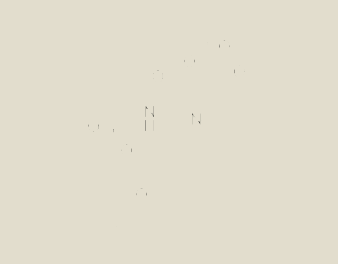 CC[C@H](C)[C@@H](Oc1ccccc1)[C@H](C)OC(=O)[C@H](C)NC(=O)c1nccc(OC)c1OC(C)=O